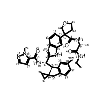 CCNC(=O)[C@@H](C)NC(=O)C1(c2ccc3nc([C@@H](NC(=O)c4ccnn4C)[C@H]4c5cc(F)ccc5CC45CC5)[nH]c3c2)CCOC1